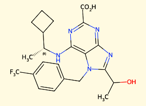 CC(O)c1nc2nc(C(=O)O)nc(N[C@H](C)C3CCC3)c2n1Cc1ccc(C(F)(F)F)cc1